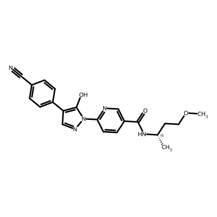 COCC[C@H](C)NC(=O)c1ccc(-n2ncc(-c3ccc(C#N)cc3)c2O)nc1